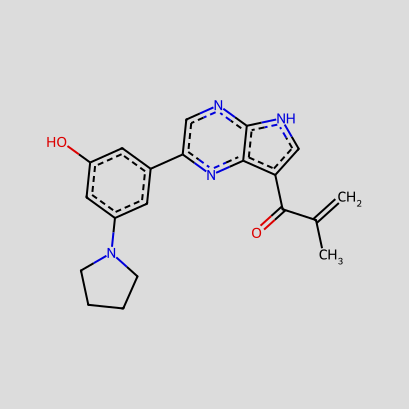 C=C(C)C(=O)c1c[nH]c2ncc(-c3cc(O)cc(N4CCCC4)c3)nc12